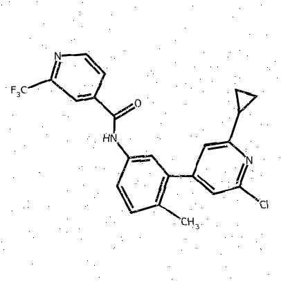 Cc1ccc(NC(=O)c2ccnc(C(F)(F)F)c2)cc1-c1cc(Cl)nc(C2CC2)c1